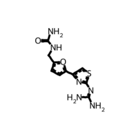 NC(=O)NCc1ccc(-c2csc(N=C(N)N)n2)o1